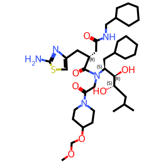 COCOC1CCN(C(=O)CN(C(=O)[C@@H](CC(=O)NCC2CCCCC2)Cc2csc(N)n2)[C@@H](CC2CCCCC2)[C@@H](O)[C@@H](O)CC(C)C)CC1